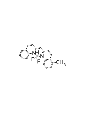 Cc1ccccc1/C=C\C1=N[PH](F)(F)N2C(=C1)C=Cc1ccccc12